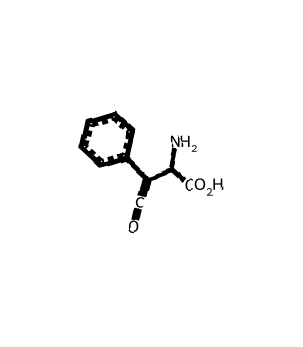 NC(C(=O)O)C(=C=O)c1ccccc1